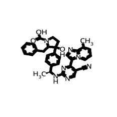 Cc1cccn2c(-c3nc(N[C@@H](C)c4ccc(C5(O)CCN(C(=O)O)C5Cc5ccccc5)cc4)ncc3C#N)cnc12